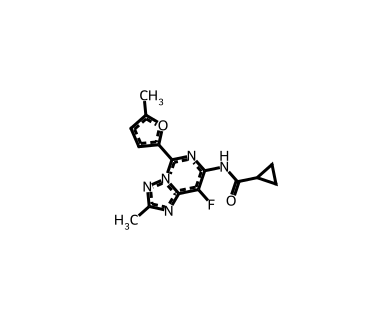 Cc1nc2c(F)c(NC(=O)C3CC3)nc(-c3ccc(C)o3)n2n1